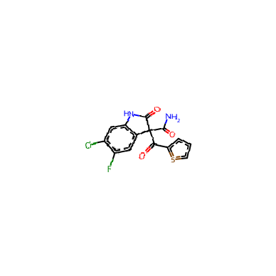 NC(=O)C1(C(=O)c2cccs2)C(=O)Nc2cc(Cl)c(F)cc21